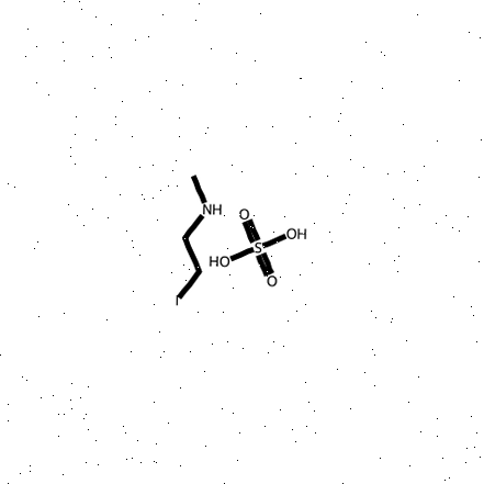 CNCCI.O=S(=O)(O)O